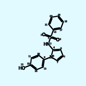 O=S(=O)(Nc1cccn1-c1ccc(O)cc1)c1ccccc1